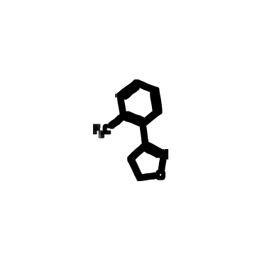 FC(F)(F)c1[c]cccc1C1=NOCC1